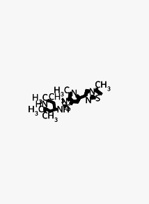 Cc1nc(-c2cn3c(C)csc3n2)cc2sc(NC3CC(C)(C)NC(C)(C)C3)nc12